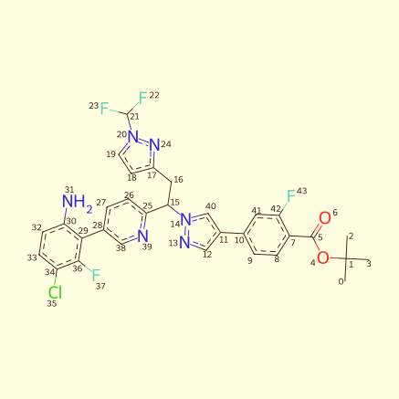 CC(C)(C)OC(=O)c1ccc(-c2cnn(C(Cc3ccn(C(F)F)n3)c3ccc(-c4c(N)ccc(Cl)c4F)cn3)c2)cc1F